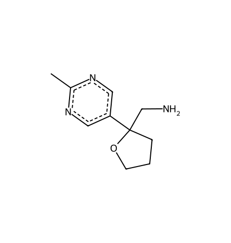 Cc1ncc(C2(CN)CCCO2)cn1